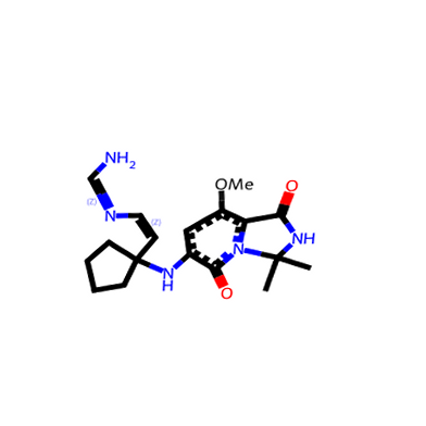 COc1cc(NC2(/C=C\N=C/N)CCCC2)c(=O)n2c1C(=O)NC2(C)C